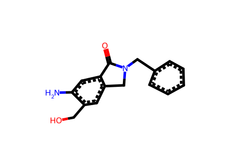 Nc1cc2c(cc1CO)CN(Cc1ccccc1)C2=O